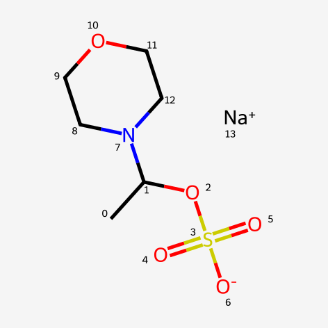 CC(OS(=O)(=O)[O-])N1CCOCC1.[Na+]